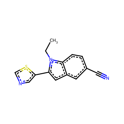 CCn1c(-c2cncs2)cc2cc(C#N)ccc21